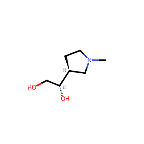 CN1CC[C@H]([C@H](O)CO)C1